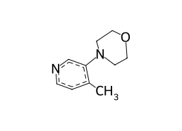 Cc1ccncc1N1CCOCC1